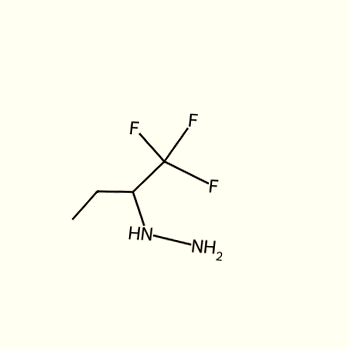 CCC(NN)C(F)(F)F